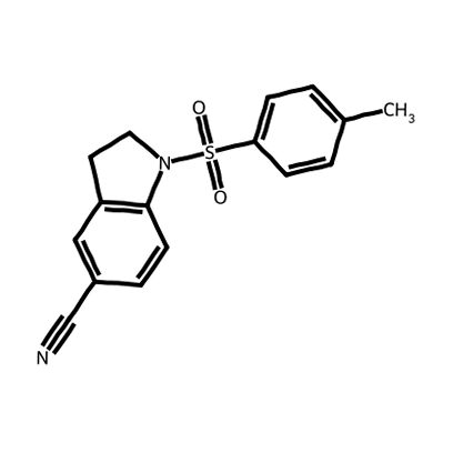 Cc1ccc(S(=O)(=O)N2CCc3cc(C#N)ccc32)cc1